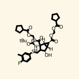 Cc1cc(SCC2[C@@H](O)[C@H]3[C@H](C(=O)OCOC(=O)C4CCCC4)[C@H]3[C@]2(NC(=O)OC(C)(C)C)C(=O)OCOC(=O)C2CCCC2)ccc1F